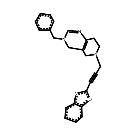 C(#Cc1nc2ccccc2o1)CN1CCC2=C(CN(Cc3ccccc3)C=N2)C1